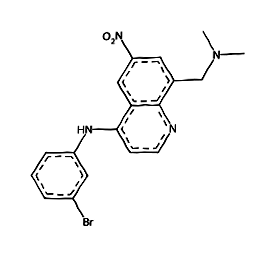 CN(C)Cc1cc([N+](=O)[O-])cc2c(Nc3cccc(Br)c3)ccnc12